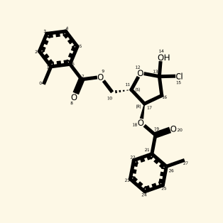 Cc1ccccc1C(=O)OC[C@@H]1OC(O)(Cl)C[C@H]1OC(=O)c1ccccc1C